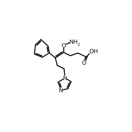 NOC(CCC(=O)O)=C(CCn1ccnc1)c1ccccc1